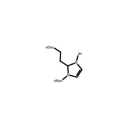 CCCCCCCCCCCCC1N(CCCCCCCCC)C=CN1C(C)C